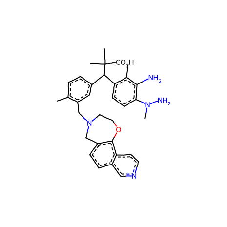 Cc1ccc(C(c2ccc(N(C)N)c(N)c2C)C(C)(C)C(=O)O)cc1CN1CCOc2c(ccc3cnccc23)C1